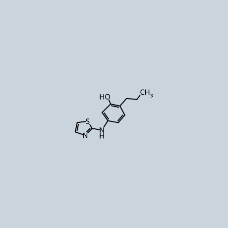 CCCc1ccc(Nc2nccs2)cc1O